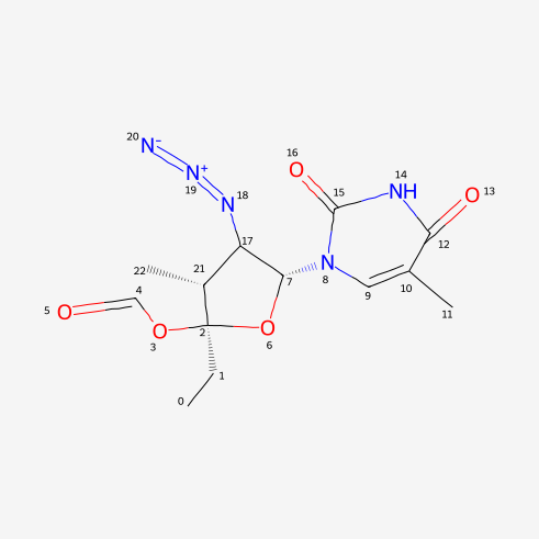 CC[C@@]1(OC=O)O[C@@H](n2cc(C)c(=O)[nH]c2=O)C(N=[N+]=[N-])[C@H]1C